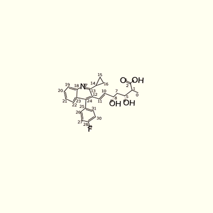 CC(C(=O)O)[C@H](O)C[C@H](O)C=Cc1c(C2CC2)nc2ccccc2c1-c1ccc(F)cc1